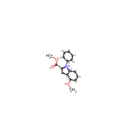 COC(=O)c1cc2c(OC)cccc2n1-c1ccccc1